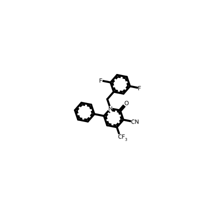 N#Cc1c(C(F)(F)F)cc(-c2ccccc2)n(Cc2cc(F)ccc2F)c1=O